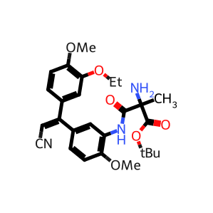 CCOc1cc(C(=CC#N)c2ccc(OC)c(NC(=O)C(C)(N)C(=O)OC(C)(C)C)c2)ccc1OC